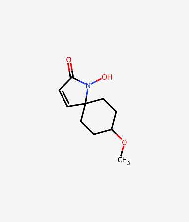 COC1CCC2(C=CC(=O)N2O)CC1